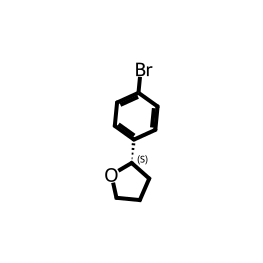 Brc1ccc([C@@H]2CCCO2)cc1